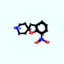 O=[N+]([O-])c1cccc2c1OC1(CCNCC1)C2